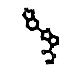 CC(C)(C)OC(=O)n1ccc2nc(-c3ccc4cnnn4c3)sc21